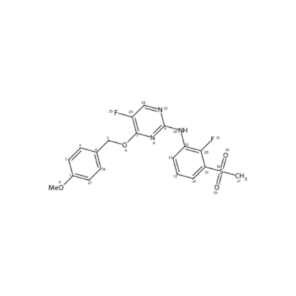 COc1ccc(COc2nc(Nc3cccc(S(C)(=O)=O)c3F)ncc2F)cc1